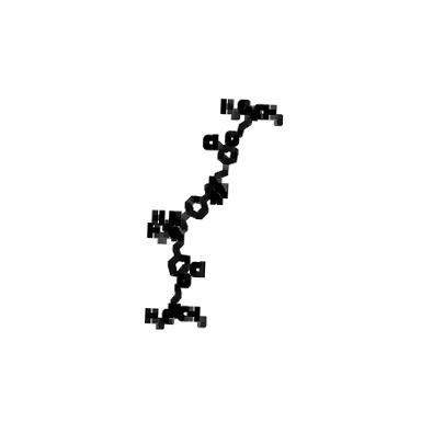 CN(C)CCCOc1ccc(CCN(N)/C=C(\N)c2ccc(-c3cn(CCc4ccc(OCCCN(C)C)c(Cl)c4)nn3)cc2)cc1Cl